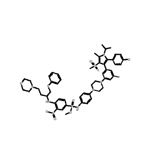 COP(=O)(Nc1ccc(N2CCN(c3cc(F)cc(-c4c(S(C)(=O)=O)c(C)n(C(C)C)c4-c4ccc(Cl)cc4)c3)CC2)cc1)c1ccc(NC(CCN2CCOCC2)CSc2ccccc2)c([N+](=O)[O-])c1